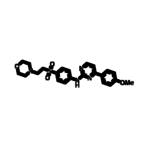 COc1ccc(-c2ccnc(Nc3ccc(S(=O)(=O)CCN4CCOCC4)cc3)n2)cc1